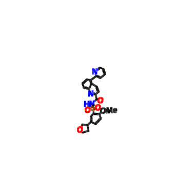 COc1ccc(C2CCOC2)cc1S(=O)(=O)NC(=O)c1ccc2c(-c3ccccn3)cccc2n1